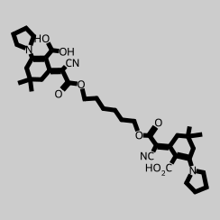 CC1(C)CC(N2CCCC2)=C(C(=O)O)/C(=C(\C#N)C(=O)OCCCCCCOC(=O)/C(C#N)=C2\CC(C)(C)CC(N3CCCC3)=C2C(O)O)C1